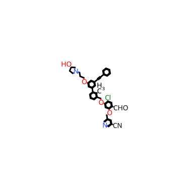 Cc1c(COc2cc(OCc3cncc(C#N)c3)c(C=O)cc2Cl)cccc1-c1cc(C#Cc2ccccc2)cc(OCCCN2CCC(O)C2)c1